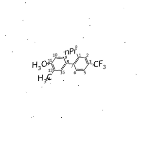 CC[CH]c1cc(C(F)(F)F)ccc1-c1ccc(C)c(C)c1